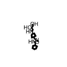 OCC(O)CNc1ccc(C2=NOC(c3ccccc3)N2)cc1